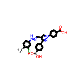 Cc1ccc(N/N=C/c2cn(-c3ccc(C(=O)O)cc3)nc2-c2ccc(B(O)O)cc2)cc1Cl